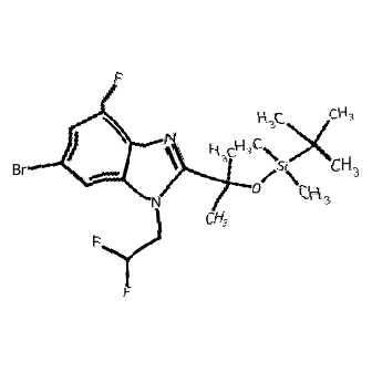 CC(C)(O[Si](C)(C)C(C)(C)C)c1nc2c(F)cc(Br)cc2n1CC(F)F